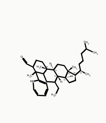 CCC1CC2C(C)(C3=CC=CC=CN3)C(C=O)CC[C@]2(C)[C@H]2CC[C@]3(C)[C@@H]([C@H](C)CCCC(C)C)CC[C@H]3[C@H]12